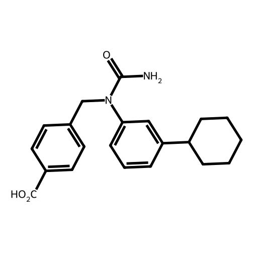 NC(=O)N(Cc1ccc(C(=O)O)cc1)c1cccc(C2CCCCC2)c1